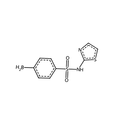 Bc1ccc(S(=O)(=O)Nc2nccs2)cc1